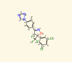 Cc1cc(C2=NOC(c3cc(Cl)cc(Cl)c3)(C(F)(F)F)C2)ccc1-n1cncn1